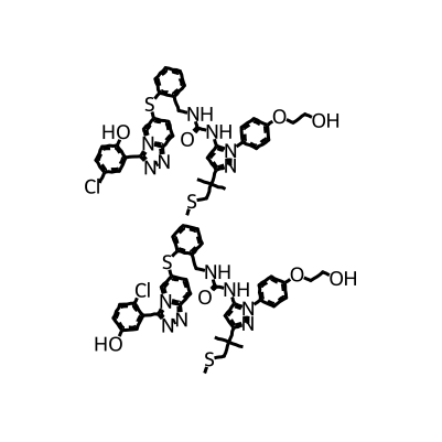 CSCC(C)(C)c1cc(NC(=O)NCc2ccccc2Sc2ccc3nnc(-c4cc(Cl)ccc4O)n3c2)n(-c2ccc(OCCO)cc2)n1.CSCC(C)(C)c1cc(NC(=O)NCc2ccccc2Sc2ccc3nnc(-c4cc(O)ccc4Cl)n3c2)n(-c2ccc(OCCO)cc2)n1